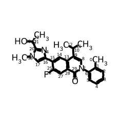 Cc1ccccc1-n1cc(C(C)C)c2cc(-c3cn(C)c([C@H](C)O)n3)c(F)cc2c1=O